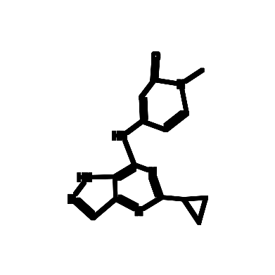 Cn1ccc(Nc2nc(C3CC3)nc3cn[nH]c23)cc1=O